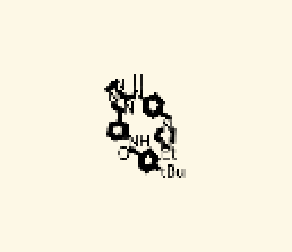 CCN1CCN(Cc2ccc(Nc3nc(-c4cccc(NC(=O)c5ccc(C(C)(C)C)cc5)c4)cn4ccnc34)cc2)CC1